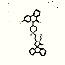 O=C(NC1CC[N+]([O-])(CCCCC2(C(=O)NCC(F)(F)F)c3ccccc3-c3ccccc32)CC1)c1ccccc1-c1ccc(C(F)(F)F)cc1